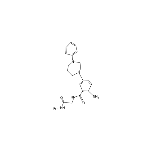 CC(C)NC(=O)CNC(=O)c1cc(N2CCCN(c3ccccc3)CC2)ccc1N